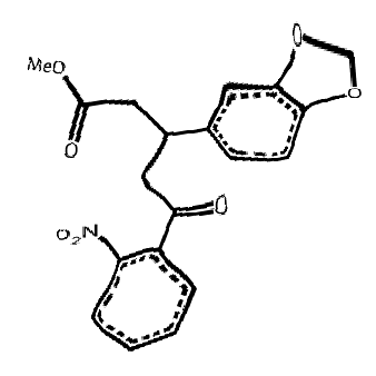 COC(=O)CC(CC(=O)c1ccccc1[N+](=O)[O-])c1ccc2c(c1)OCO2